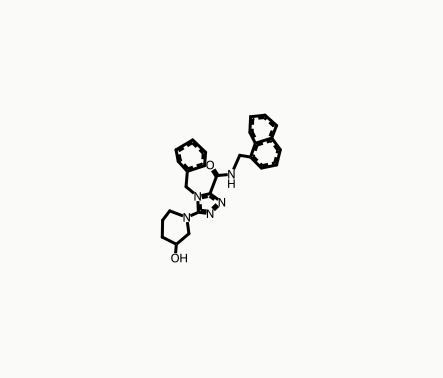 O=C(NCc1cccc2ccccc12)c1nnc(N2CCCC(O)C2)n1Cc1ccccc1